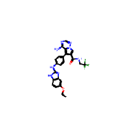 CCOc1ccc2[nH]c(Nc3ccc(-c4c(C(=O)NCC(F)(F)F)cn5ncnc(N)c45)cc3)nc2c1